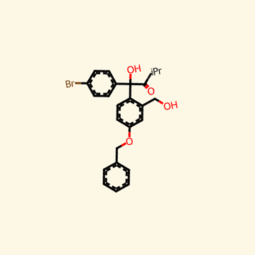 CC(C)C(=O)C(O)(c1ccc(Br)cc1)c1ccc(OCc2ccccc2)cc1CO